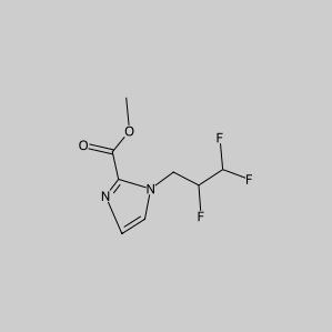 COC(=O)c1nccn1CC(F)C(F)F